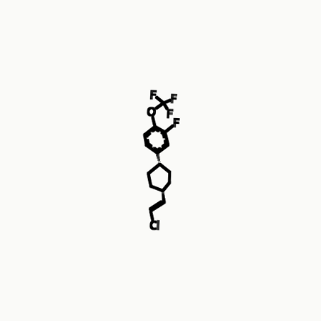 Fc1cc([C@H]2CC[C@H](/C=C/Cl)CC2)ccc1OC(F)(F)F